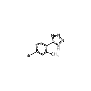 Cc1cc(Br)ccc1-c1nnn[nH]1